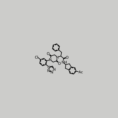 CC(=O)c1ccc2c(c1)CC(NC(=O)C(Cc1ccccc1)N1CC(=O)N(c3cc(Cl)ccc3-n3cnnn3)CC1=O)C2